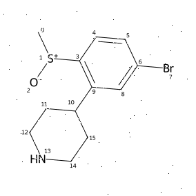 C[S+]([O-])c1ccc(Br)cc1C1CCNCC1